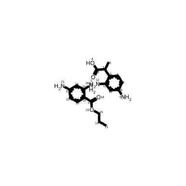 CC(C(=O)O)c1ccc(N)cc1N.CCCOC(=O)c1ccc(N)cc1N